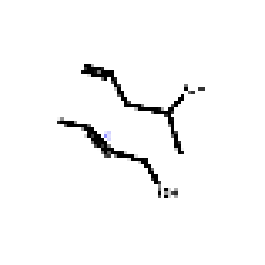 C/C=C/CO.C=CCC(C)O